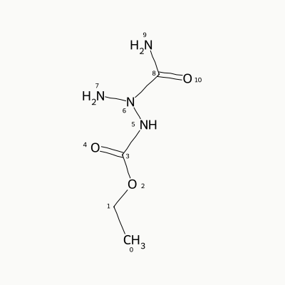 CCOC(=O)NN(N)C(N)=O